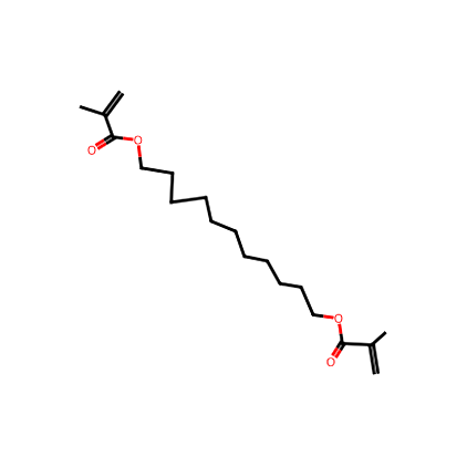 C=C(C)C(=O)OCCCCCCCCCCCOC(=O)C(=C)C